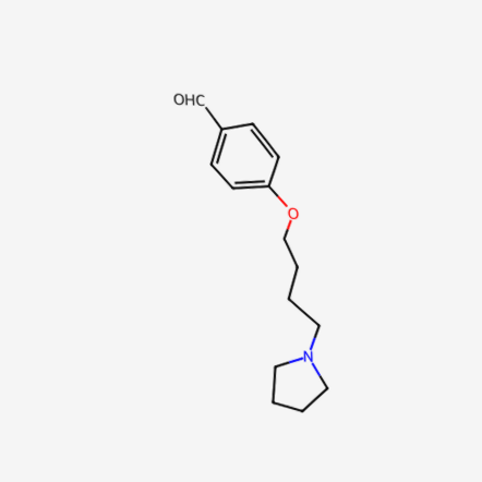 O=Cc1ccc(OCCCCN2CCCC2)cc1